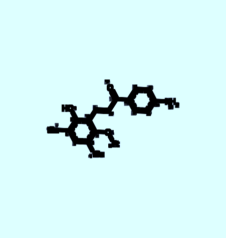 CCOc1c(C(C)(C)C)cc(C(C)(C)C)c(O)c1C=CC(=O)c1ccc(N)cc1